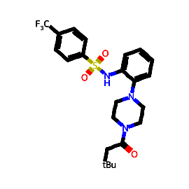 CC(C)(C)CC(=O)N1CCN(c2ccccc2NS(=O)(=O)c2ccc(C(F)(F)F)cc2)CC1